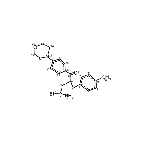 CCC(N)CC(Cc1ccc(C)cc1)C(=O)c1ccc(N2CCOCC2)cc1